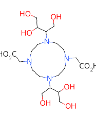 O=C(O)CN1CCN(C(CO)C(O)CO)CCN(CC(=O)O)CCN(C(CO)C(O)CO)CC1